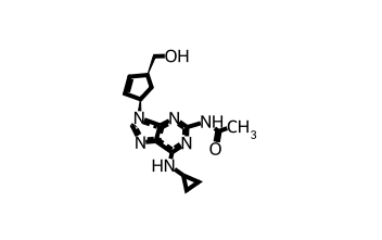 CC(=O)Nc1nc(NC2CC2)c2ncn([C@H]3C=C[C@@H](CO)C3)c2n1